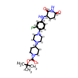 CC(C)(C)OC(=O)N1CCC(N2CCN(c3ccc(NC4CCC(=O)NC4=O)cc3F)CC2)CC1